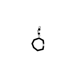 [CH]1CCCCCCC1.[O]=[Ti]=[O]